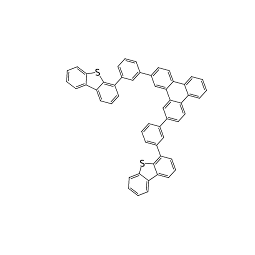 c1cc(-c2ccc3c4ccccc4c4ccc(-c5cccc(-c6cccc7c6sc6ccccc67)c5)cc4c3c2)cc(-c2cccc3c2sc2ccccc23)c1